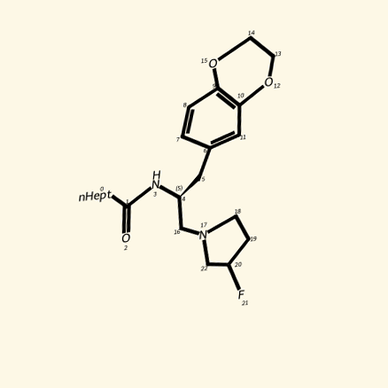 CCCCCCCC(=O)N[C@@H](Cc1ccc2c(c1)OCCO2)CN1CCC(F)C1